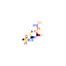 BNPOC(=O)/N=C(/NS(C)(=O)=O)SC